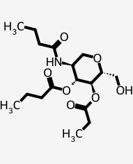 CCCC(=O)N[C@H]1CO[C@H](CO)[C@@H](OC(=O)CC)[C@@H]1OC(=O)CCC